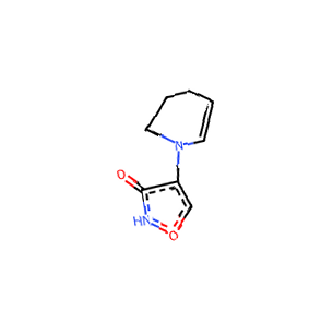 O=c1[nH]occ1N1C=CCCC1